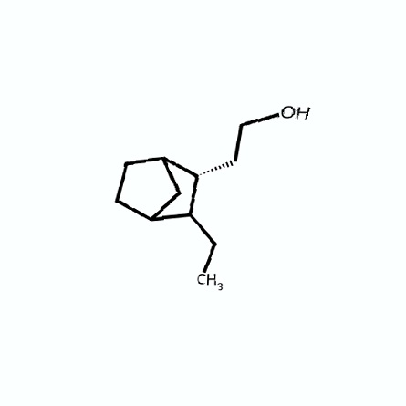 CCC1C2CCC(C2)[C@@H]1CCO